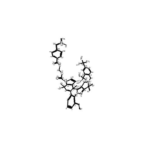 CCc1cccc2c1-n1nc3c(c1C1(C)C2=CC(C)(F)c2c1ccn2C(=O)OCOC(=O)c1ccc(CN(C)C)cc1)CN(Cc1ccc(C(F)(F)F)cc1C(F)(F)F)C3(C)C